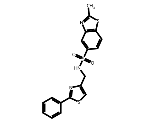 Cc1nc2cc(S(=O)(=O)NCc3csc(-c4ccccc4)n3)ccc2s1